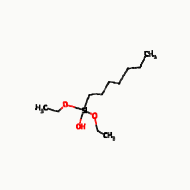 CCCCCCC[Si](O)(OCC)OCC